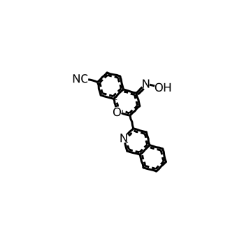 N#Cc1ccc2c(=NO)cc(-c3cc4ccccc4cn3)oc2c1